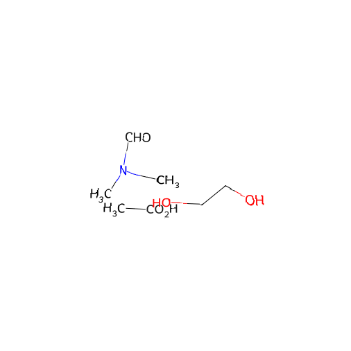 CC(=O)O.CN(C)C=O.OCCO